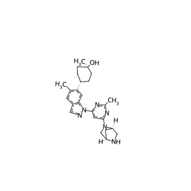 Cc1nc(N2C[C@H]3C[C@@H]2CN3)cc(-n2ncc3cc(C)c([C@H]4CC[C@](C)(O)CC4)cc32)n1